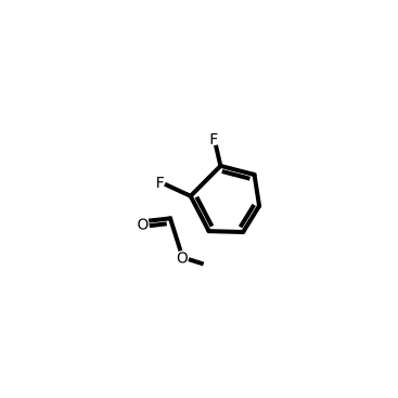 COC=O.Fc1ccccc1F